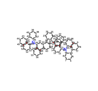 c1ccc(-c2ccccc2N(c2ccc3c(c2)C2(c4ccccc4-c4ccccc42)c2cc4cc(N(c5ccccc5-c5ccccc5)c5ccccc5-c5ccccc5)ccc4cc2-3)c2ccccc2-c2ccccc2)cc1